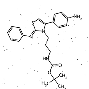 CC(C)(C)OC(=O)NCCCn1c(-c2ccc(N)cc2)csc1=Nc1ccccc1